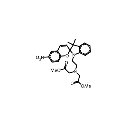 COC(=O)CN(CCN1c2ccccc2C(C)(C)C12C=Cc1cc([N+](=O)[O-])ccc1O2)CC(=O)OC